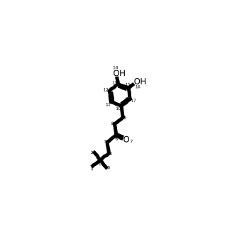 CC(C)(C)CCC(=O)CCc1ccc(O)c(O)c1